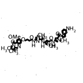 COc1cc2c(cc1OCCCC(=O)Nc1cn(C)c(C(=O)Nc3cc(C(=O)Nc4cc(C(=O)n5ccc6cc(N)ccc65)n(C)c4)n(C)c3)n1)N=C[C@@H]1CC(C)(C)CN1C2=O